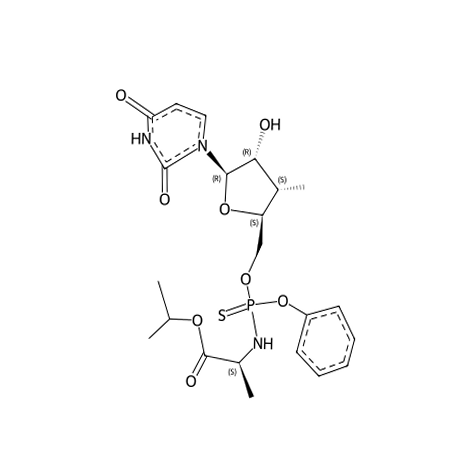 CC(C)OC(=O)[C@H](C)NP(=S)(OC[C@H]1O[C@@H](n2ccc(=O)[nH]c2=O)[C@H](O)[C@@H]1C)Oc1ccccc1